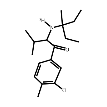 [2H]N(C(C(=O)c1ccc(C)c(Cl)c1)C(C)C)C(C)(CC)CC